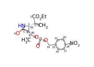 C=C(C(=O)OCC)[C@H]1NC(=O)[C@@H]1[C@@H](C)OC(=O)OCc1ccc([N+](=O)[O-])cc1